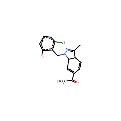 CCOC(=O)C(=O)C1=CC2C(C=C1)C(C)=NN2Cc1c(Cl)cccc1Br